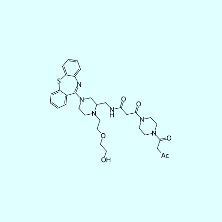 CC(=O)CC(=O)N1CCN(C(=O)CC(=O)NCC2CN(C3=Nc4ccccc4Sc4ccccc43)CCN2CCOCCO)CC1